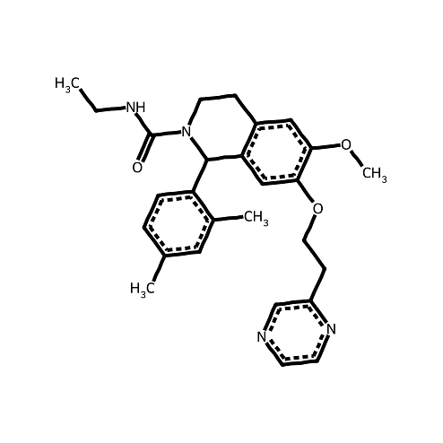 CCNC(=O)N1CCc2cc(OC)c(OCCc3cnccn3)cc2C1c1ccc(C)cc1C